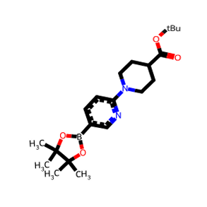 CC(C)(C)OC(=O)C1CCN(c2ccc(B3OC(C)(C)C(C)(C)O3)cn2)CC1